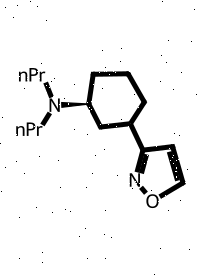 CCCN(CCC)[C@H]1CCCC(c2ccon2)C1